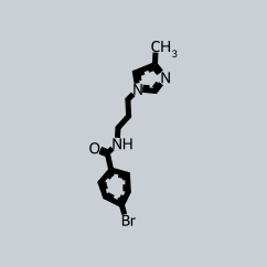 Cc1cn(CCCNC(=O)c2ccc(Br)cc2)cn1